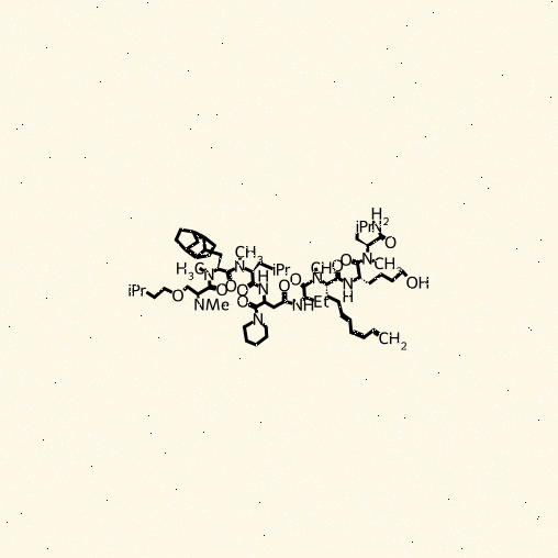 C=C/C=C\C=C\CC[C@@H](C(=O)N[C@@H](CCCCO)C(=O)N(C)[C@@H](CC(C)C)C(N)=O)N(C)C(=O)C(CC)NC(=O)CC(NC(=O)[C@H](CC(C)C)N(C)C(=O)[C@H](CC1C2=C3CCC(=C1CC2)C3)N(C)C(=O)[C@H](COCCC(C)C)NC)C(=O)N1CCCCC1